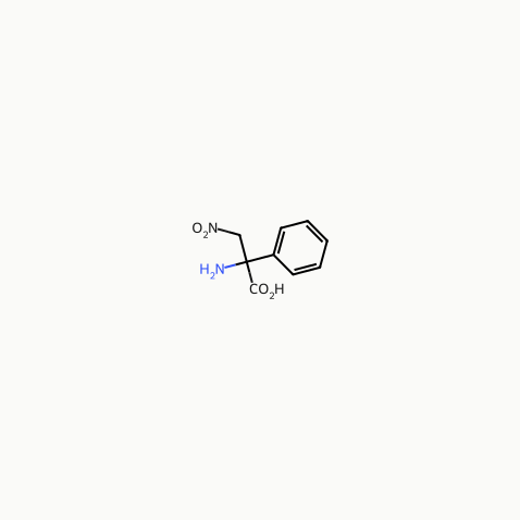 NC(C[N+](=O)[O-])(C(=O)O)c1ccccc1